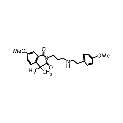 COc1ccc(CCNCCCN2C(=O)c3cc(OC)ccc3C(C)(C)C2=O)cc1